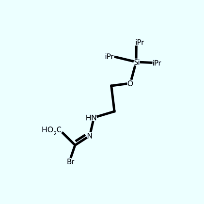 CC(C)[Si](OCCN/N=C(/Br)C(=O)O)(C(C)C)C(C)C